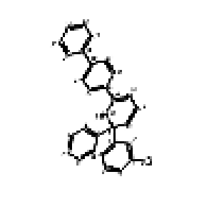 Clc1cccc(C2(c3ccccc3)C=CN=C(c3ccc(-c4ccccc4)cc3)N2)c1